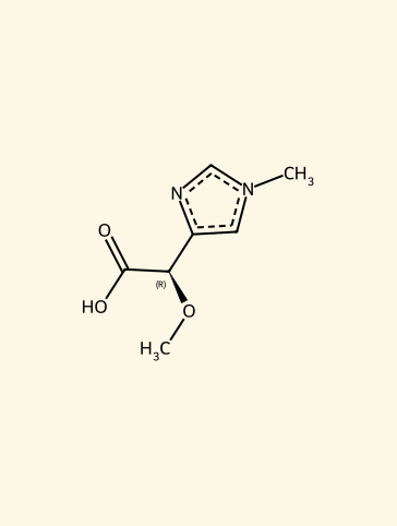 CO[C@@H](C(=O)O)c1cn(C)cn1